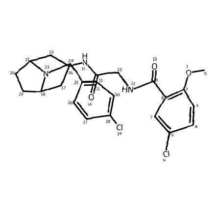 COc1ccc(Cl)cc1C(=O)NCC(=O)NC1CC2CCC(C1)N2Cc1ccc(Cl)cc1